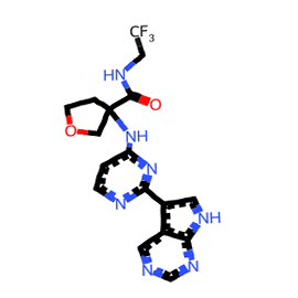 O=C(NCC(F)(F)F)C1(Nc2ccnc(-c3c[nH]c4ncncc34)n2)CCOC1